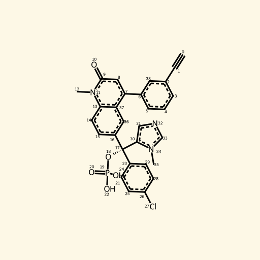 C#Cc1cccc(-c2cc(=O)n(C)c3ccc([C@](OP(=O)(O)O)(c4ccc(Cl)cc4)c4cncn4C)cc23)c1